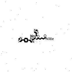 CNC(=O)CCCCC[C@H](NC(=O)c1cncs1)c1ncc(-c2ccc(-c3cscn3)cc2)[nH]1